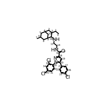 CCC1CC2CC(C)CC(C2)C1NCCNC(=O)c1cc(-c2ccc(Cl)cc2)n(-c2ccc(Cl)cc2Cl)n1